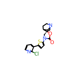 O=C1O[C@]2(CN3CCC2CC3)CN1c1ccc(-c2cccnc2Cl)s1